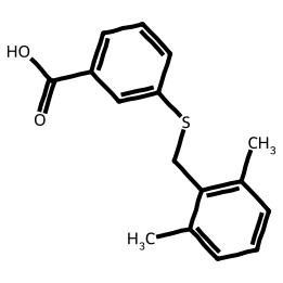 Cc1cccc(C)c1CSc1cccc(C(=O)O)c1